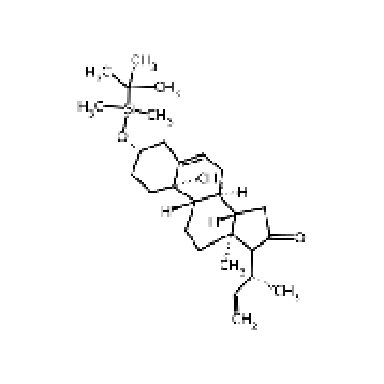 C=C[C@@H](C)C1C(=O)C[C@H]2[C@@H]3CC=C4C[C@@H](O[Si](C)(C)C(C)(C)C)CC[C@]4(C)[C@H]3CC[C@]12C